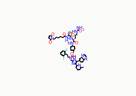 Cc1cccc(-c2nc(CN(CCc3c(F)cccc3F)C(=O)OCc3ccc(NC(=O)[C@H](CCCNC(N)=O)NC(=O)C(NC(=O)CCCCCN4C(=O)C=CC4=O)C(C)C)cc3)[nH]c2-c2ccc3nccnc3c2)n1